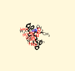 C=CCOC1OC(CCC(C)(C)[Si](O)(c2ccccc2)c2ccccc2)[C@@H](O[C@@H]2OC(CCC(C)(C)[Si](O)(c3ccccc3)c3ccccc3)[C@H](O)C(OC)[C@@H]2O)[C@H](O)[C@@H]1NC(C)=O